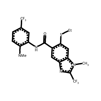 CCSc1cc2c(cc1C(=O)Nc1cc(C(F)(F)F)ccc1NC)nc(C(F)(F)F)n2C